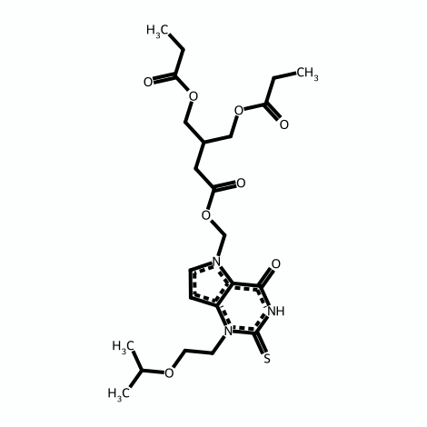 CCC(=O)OCC(COC(=O)CC)CC(=O)OCn1ccc2c1c(=O)[nH]c(=S)n2CCOC(C)C